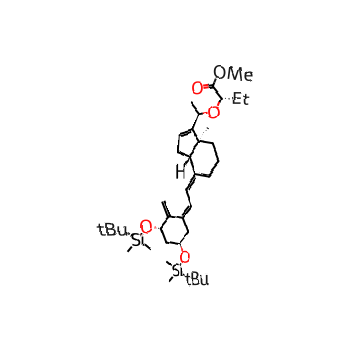 C=C1/C(=C\C=C2/CCC[C@]3(C)C(C(C)O[C@@H](CC)C(=O)OC)=CC[C@@H]23)C[C@@H](O[Si](C)(C)C(C)(C)C)C[C@@H]1O[Si](C)(C)C(C)(C)C